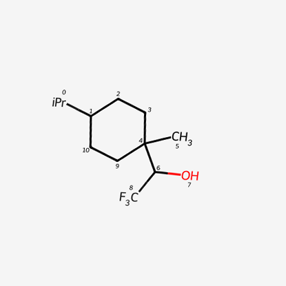 CC(C)C1CCC(C)(C(O)C(F)(F)F)CC1